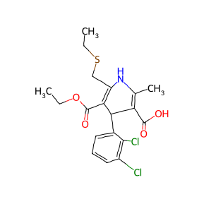 CCOC(=O)C1=C(CSCC)NC(C)=C(C(=O)O)C1c1cccc(Cl)c1Cl